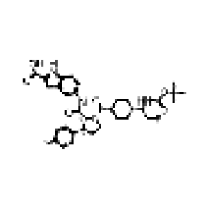 CC(C)(C)OC(=O)NC(CF)[C@H]1CC[C@H](C(=O)N2CC[C@@H](c3ccc(F)cc3)[C@H]2C(=O)Nc2ccc3[nH]c(C(=O)O)cc3c2)CC1